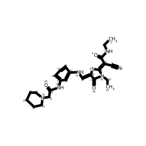 CCNC(=O)C(C#N)=c1sc(=CNc2cccc(NC(=O)CN3CCCCC3)c2)c(=O)n1CC